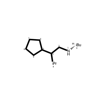 CC[C@@H](C)NCC(C(C)C)C1CCCC1